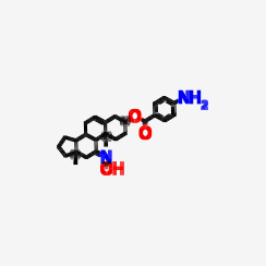 C[C@@]12CCCC1C1CC=C3C[C@@H](OC(=O)c4ccc(N)cc4)CC[C@]3(C)C1C(=NO)C2